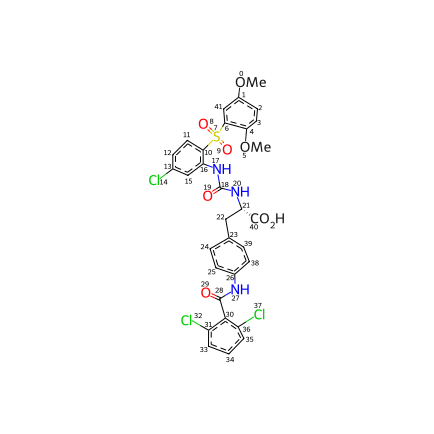 COc1ccc(OC)c(S(=O)(=O)c2ccc(Cl)cc2NC(=O)N[C@@H](Cc2ccc(NC(=O)c3c(Cl)cccc3Cl)cc2)C(=O)O)c1